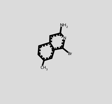 Cc1ccc2cc(N)nc(Br)c2c1